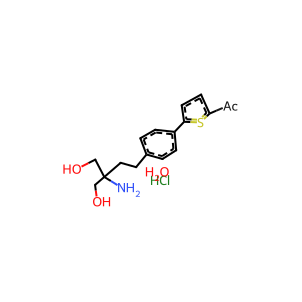 CC(=O)c1ccc(-c2ccc(CCC(N)(CO)CO)cc2)s1.Cl.O